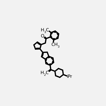 C=C(c1ccc2c(c1)C=C(C1=CCC=C1CC(=O)c1c(C)cccc1C)C2)C1CCC(C(C)C)CC1